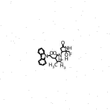 CC(C)C(CC(=O)n1c2ccccc2c2ccccc21)C(=O)NC1CC(=O)NC1(O)CF